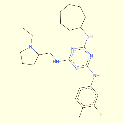 CCN1CCCC1CNc1nc(Nc2ccc(C)c(F)c2)nc(NC2CCCCCC2)n1